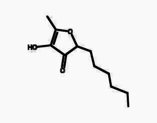 CCCCCCC1OC(C)=C(O)C1=O